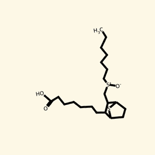 CCCCCCC[S+]([O-])CC1C2CCC(S2)C1CCCCCCC(=O)O